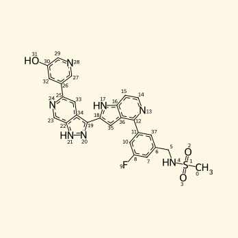 CS(=O)(=O)NCc1cc(F)cc(-c2nccc3[nH]c(-c4n[nH]c5cnc(-c6cncc(O)c6)cc45)cc23)c1